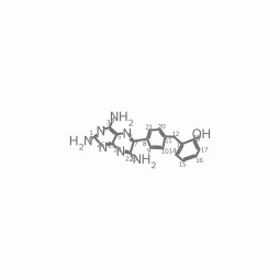 Nc1nc(N)c2nc(-c3ccc(Cc4ccccc4O)cc3)c(N)nc2n1